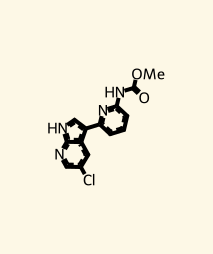 COC(=O)Nc1cccc(-c2c[nH]c3ncc(Cl)cc23)n1